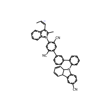 C/C=C\c1c(C)n(-c2cc(C#N)c(-c3cccc(-c4ccccc4N4c5ccc(C#N)cc5C5C=CC=CC54)c3)cc2C#N)c2ccccc12